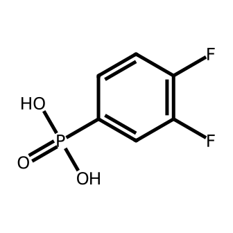 O=P(O)(O)c1ccc(F)c(F)c1